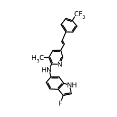 Cc1cc(/C=C/c2ccc(C(F)(F)F)cc2)cnc1Nc1ccc2c(F)c[nH]c2c1